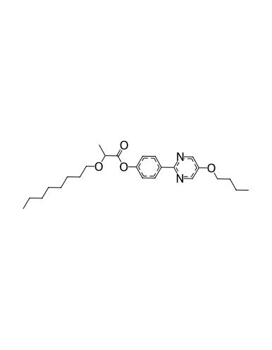 CCCCCCCCOC(C)C(=O)Oc1ccc(-c2ncc(OCCCC)cn2)cc1